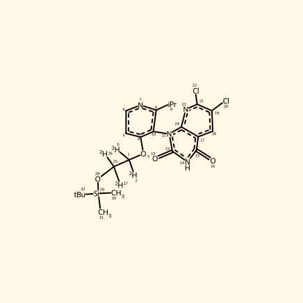 [2H]C([2H])(Oc1ccnc(C(C)C)c1-n1c(=O)[nH]c(=O)c2cc(Cl)c(Cl)nc21)C([2H])([2H])O[Si](C)(C)C(C)(C)C